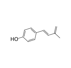 C=C(C)C=Cc1ccc(O)cc1